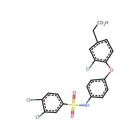 O=C(O)Cc1ccc(Oc2ccc(NS(=O)(=O)c3ccc(Cl)c(Cl)c3)cc2)c(Cl)c1